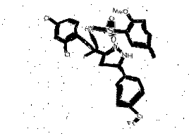 CCOc1ccc(C2CC(C(I)(NS(=O)(=O)c3cc(C)ccc3OC)c3ccc(Cl)cc3Cl)=NN2)cc1